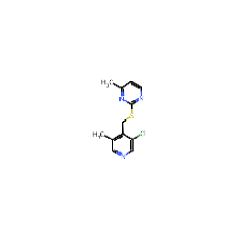 Cc1ccnc(SCc2c(C)cncc2Cl)n1